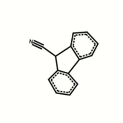 N#CC1c2ccccc2-c2ccccc21